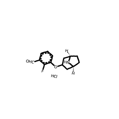 Cl.O=Cc1cccc(OC2C[C@H]3CC[C@@H](C2)N3)c1F